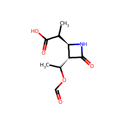 CC(C(=O)O)[C@H]1NC(=O)[C@@H]1C(C)OC=O